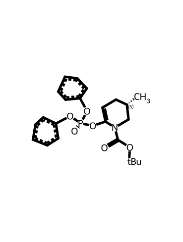 C[C@H]1CC=C(OP(=O)(Oc2ccccc2)Oc2ccccc2)N(C(=O)OC(C)(C)C)C1